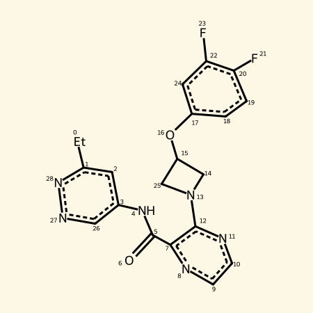 CCc1cc(NC(=O)c2nccnc2N2CC(Oc3ccc(F)c(F)c3)C2)cnn1